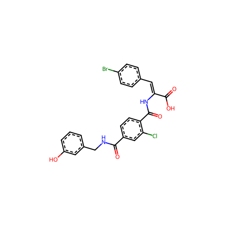 O=C(O)C(=Cc1ccc(Br)cc1)NC(=O)c1ccc(C(=O)NCc2cccc(O)c2)cc1Cl